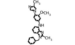 COc1cc(Nc2cccc3c2nc(C)n3Cc2ccccc2)ccc1-n1cnc(C)c1